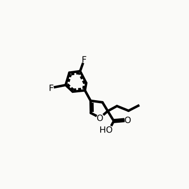 CCCC1(C(=O)O)CC(c2cc(F)cc(F)c2)=CO1